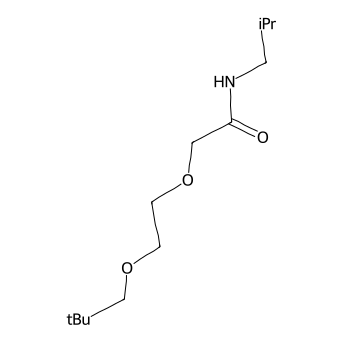 CC(C)CNC(=O)COCCOCC(C)(C)C